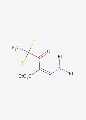 CCOC(=O)C(=CN(CC)CC)C(=O)C(F)(F)C(F)(F)F